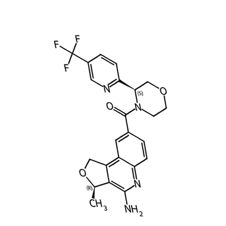 C[C@H]1OCc2c1c(N)nc1ccc(C(=O)N3CCOC[C@@H]3c3ccc(C(F)(F)F)cn3)cc21